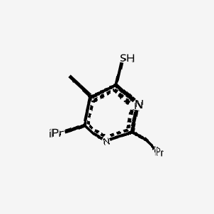 Cc1c(S)nc(C(C)C)nc1C(C)C